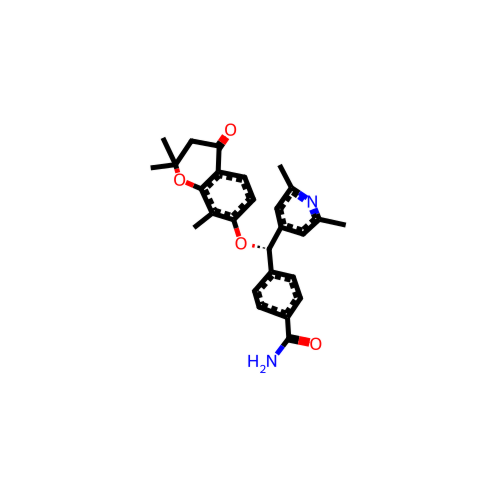 Cc1cc([C@@H](Oc2ccc3c(c2C)OC(C)(C)CC3=O)c2ccc(C(N)=O)cc2)cc(C)n1